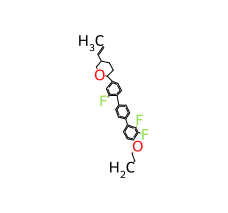 C=CCOc1ccc(-c2ccc(-c3ccc(C4CCC(/C=C/C)CO4)cc3F)cc2)c(F)c1F